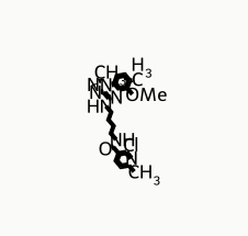 COc1c(C)ccc2c1nc(NCCCCNC(=O)c1ccc(C)nc1Cl)c1nnc(C)n12